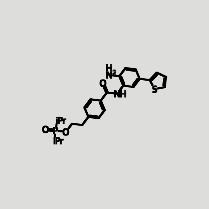 CC(C)P(=O)(OCCc1ccc(C(=O)Nc2cc(-c3cccs3)ccc2N)cc1)C(C)C